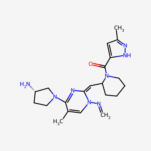 C=NN1C=C(C)C(N2CC[C@H](N)C2)=N/C1=C/C1CCCCN1C(=O)c1cc(C)n[nH]1